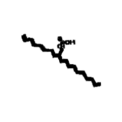 CCCCCCCCCCC(CCCCCCCC)CO[PH](=O)O